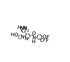 N/C=C\C(=C/N)c1cc(C(=O)Nc2ccc(OC(F)(F)Cl)cc2)cnc1N1CC[C@@H](O)C1